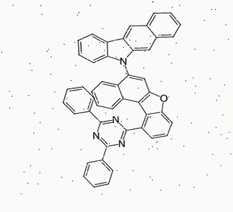 c1ccc(-c2nc(-c3ccccc3)nc(-c3cccc4oc5cc(-n6c7ccccc7c7cc8ccccc8cc76)c6ccccc6c5c34)n2)cc1